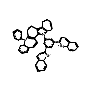 C1=CC2=CC=C(c3cc(C4=CC=C5C=CC=CC5N4)cc(-n4c5c(c6c4C4=C(CC6)N(c6ccccc6)c6ccccc6C=C4)CCC=C5)c3)NC2C=C1